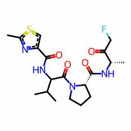 Cc1nc(C(=O)NC(C(=O)N2CCC[C@H]2C(=O)N[C@@H](C)C(=O)CF)C(C)C)cs1